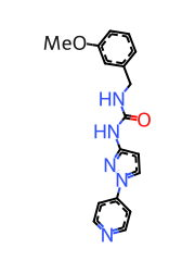 COc1cccc(CNC(=O)Nc2ccn(-c3ccncc3)n2)c1